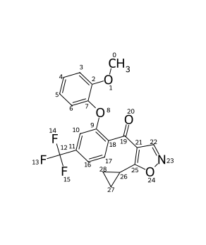 COc1ccccc1Oc1cc(C(F)(F)F)ccc1C(=O)c1cnoc1C1CC1